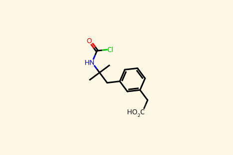 CC(C)(Cc1cccc(CC(=O)O)c1)NC(=O)Cl